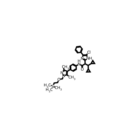 Cc1nn(COCC[Si](C)(C)C)c(C)c1-c1ccc(NC(=O)C(c2nc(-c3ccccc3)c(Cl)[nH]2)C(C2CC2)C2CC2)cc1